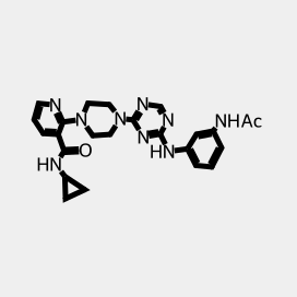 CC(=O)Nc1cccc(Nc2ncnc(N3CCN(c4ncccc4C(=O)NC4CC4)CC3)n2)c1